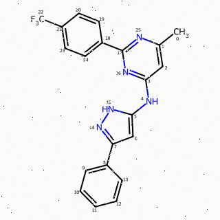 Cc1cc(Nc2cc(-c3ccccc3)n[nH]2)nc(-c2ccc(C(F)(F)F)cc2)n1